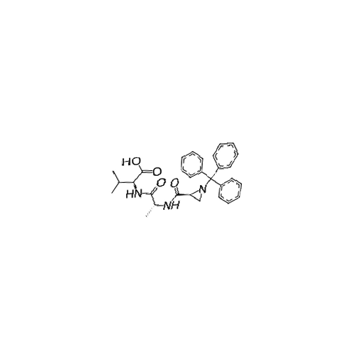 CC(C)[C@H](NC(=O)[C@@H](C)NC(=O)[C@@H]1CN1C(c1ccccc1)(c1ccccc1)c1ccccc1)C(=O)O